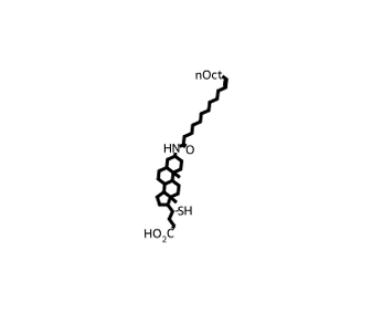 CCCCCCCC/C=C\CCCCCCCCCC(=O)NC1CCC2(C)C(CCC3C2CCC2(C)C3CCC2[C@H](S)CCC(=O)O)C1